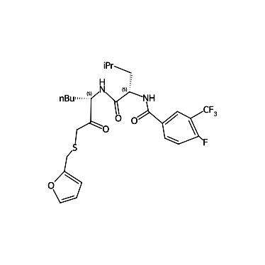 CCCC[C@H](NC(=O)[C@H](CC(C)C)NC(=O)c1ccc(F)c(C(F)(F)F)c1)C(=O)CSCc1ccco1